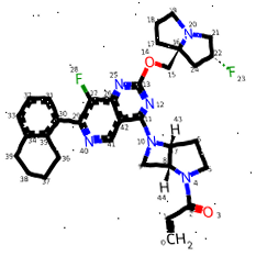 C=CC(=O)N1CC[C@@H]2[C@H]1CN2c1nc(OC[C@@]23CCCN2C[C@H](F)C3)nc2c(F)c(-c3cccc4c3CCCC4)ncc12